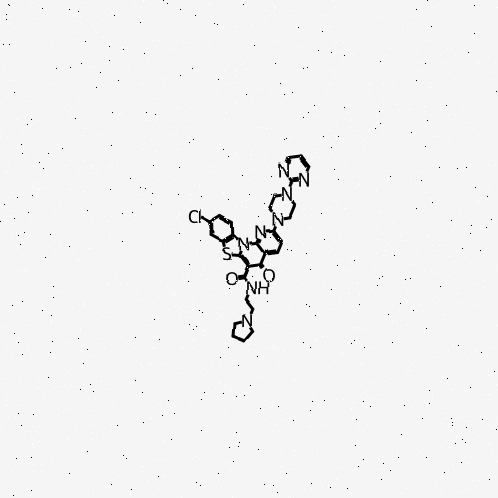 O=C(NCCN1CCCC1)c1c(=O)c2ccc(N3CCN(c4ncccn4)CC3)nc2n2c1sc1cc(Cl)ccc12